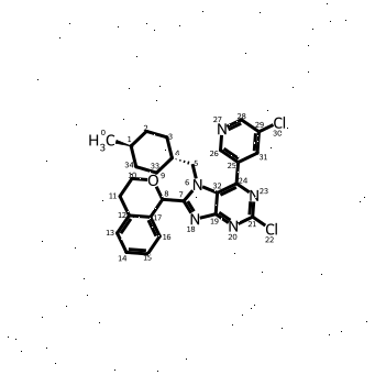 C[C@H]1CC[C@H](Cn2c(C3OCCc4ccccc43)nc3nc(Cl)nc(-c4cncc(Cl)c4)c32)CC1